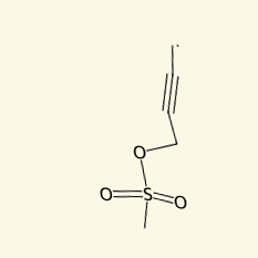 [CH2]C#CCOS(C)(=O)=O